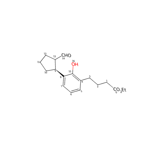 CCOC(=O)CCCc1cccc([C@H]2CCCC2C=O)c1O